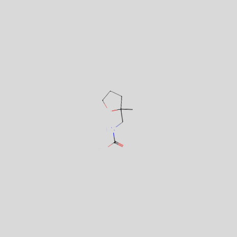 CC1(CNC(=O)O)CCCO1